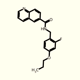 CCCOc1ccc(CNC(=O)c2ccc3ncccc3c2)c(F)c1